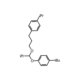 CCC(C)c1ccc(OC(OCCCc2ccc(C(C)C)cc2)C(C)C)cc1